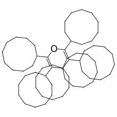 C1CCCCC(C(OC(=C(C2CCCCCCCCC2)C2CCCCCCCCC2)C2CCCCCCCCC2)=C(C2CCCCCCCCC2)C2CCCCCCCCC2)CCCC1